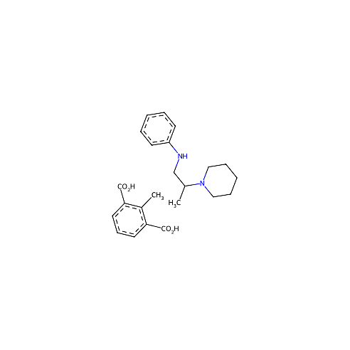 CC(CNc1ccccc1)N1CCCCC1.Cc1c(C(=O)O)cccc1C(=O)O